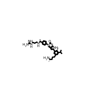 CC(C)c1cc(CCC[C@H](C)N)cc(-c2cc3cn(-c4ccc([C@H](C)NCCCNC(=N)N)cc4)c(=O)nc3[nH]2)c1F